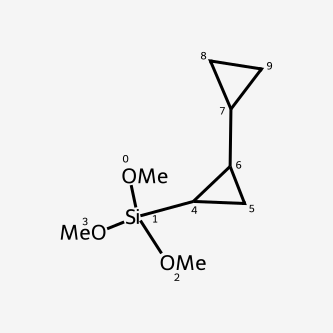 CO[Si](OC)(OC)C1CC1C1CC1